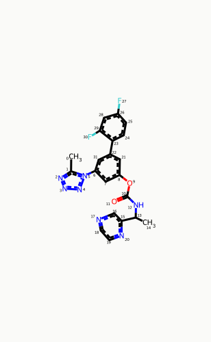 Cc1nnnn1-c1cc(OC(=O)NC(C)c2cnccn2)cc(-c2ccc(F)cc2F)c1